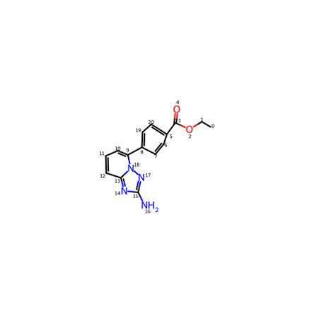 CCOC(=O)c1ccc(-c2cccc3nc(N)nn23)cc1